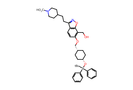 CC(C)(C)[Si](O[C@H]1CC[C@@H](COc2ccc3c(CCC4CCN(C(=O)O)CC4)noc3c2CO)CC1)(c1ccccc1)c1ccccc1